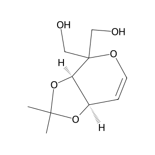 CC1(C)O[C@@H]2[C@@H](C=COC2(CO)CO)O1